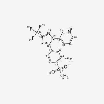 CS(=O)(=O)c1ccc(-c2cc(C(F)(F)F)nn2-c2cccnc2)cc1F